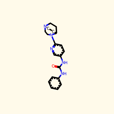 O=C(Nc1ccccc1)Nc1ccc(N2CCN3CCC2CC3)nc1